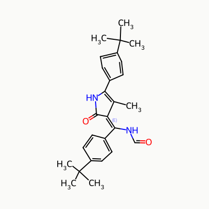 CC1=C(c2ccc(C(C)(C)C)cc2)NC(=O)/C1=C(/NC=O)c1ccc(C(C)(C)C)cc1